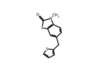 Cn1c(=O)sc2cc(Cc3cccs3)ccc21